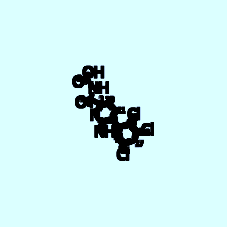 Nc1nc(C(=O)NC(=O)O)ccc1-c1cc(Cl)cc(Cl)c1Cl